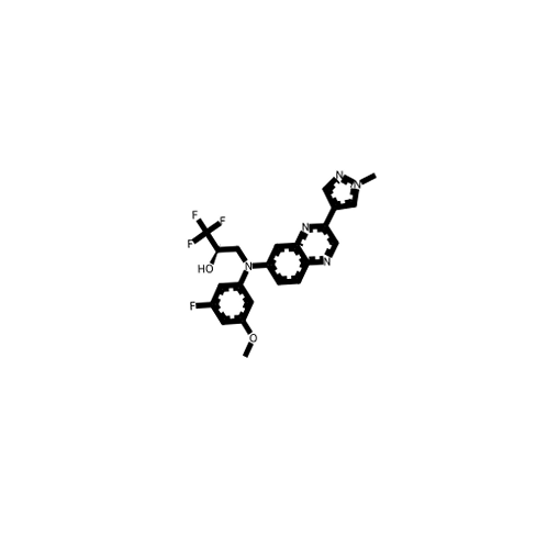 COc1cc(F)cc(N(C[C@@H](O)C(F)(F)F)c2ccc3ncc(-c4cnn(C)c4)nc3c2)c1